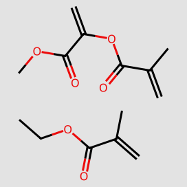 C=C(C)C(=O)OC(=C)C(=O)OC.C=C(C)C(=O)OCC